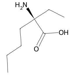 CCCC[C@](N)(CC)C(=O)O